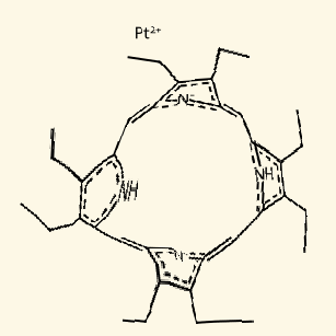 CCc1c2[nH]c(c1CC)C=c1[n-]c(c(CC)c1CC)=Cc1[nH]c(c(CC)c1CC)C=c1[n-]c(c(CC)c1CC)=C2.[Pt+2]